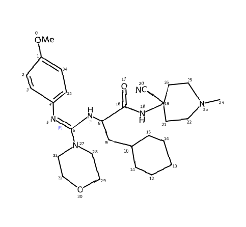 COc1ccc(/N=C(\NC(CC2CCCCC2)C(=O)NC2(C#N)CCN(C)CC2)N2CCOCC2)cc1